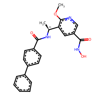 COc1ncc(C(=O)NO)cc1[C@H](C)NC(=O)c1ccc(-c2ccccc2)cc1